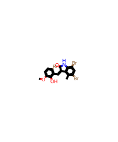 COc1ccc(Br)c(C=C2C(=O)Nc3c(Br)cc(Br)c(C)c32)c1O